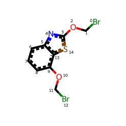 BrCOc1nc2cccc(OCBr)c2s1